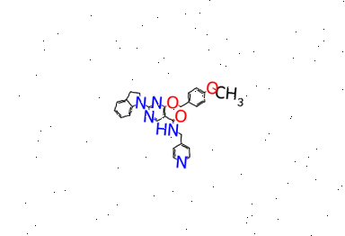 COc1ccc(COc2nc(N3CCc4ccccc43)ncc2C(=O)NCc2ccncc2)cc1